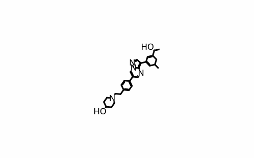 CC1C=C(c2cnn3cc(-c4ccc(CCN5CCC(O)CC5)cc4)cnc23)C=C(C(C)O)C1